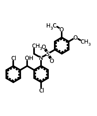 CCN(c1ccc(Cl)cc1C(O)c1ccccc1Cl)S(=O)(=O)c1ccc(OC)c(OC)c1